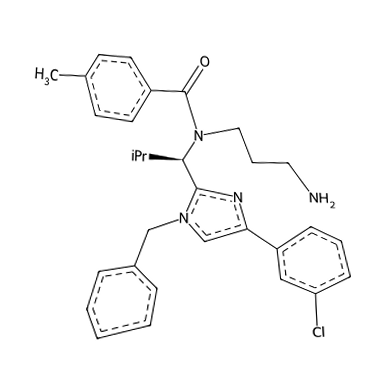 Cc1ccc(C(=O)N(CCCN)[C@@H](c2nc(-c3cccc(Cl)c3)cn2Cc2ccccc2)C(C)C)cc1